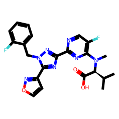 CC(C)[C@@H](C(=O)O)N(C)c1nc(-c2nc(-c3ccon3)n(Cc3ccccc3F)n2)ncc1F